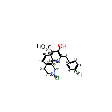 O=C(O)c1c(O)c(Cc2ccc(Cl)cc2)nc2c3c(ccc12)CCN(Cl)C3